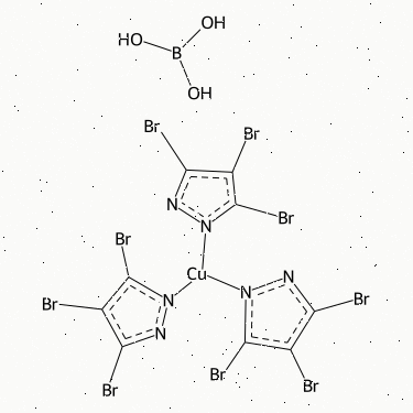 Brc1n[n]([Cu]([n]2nc(Br)c(Br)c2Br)[n]2nc(Br)c(Br)c2Br)c(Br)c1Br.OB(O)O